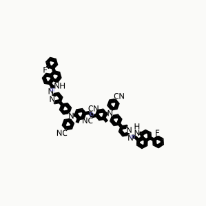 Cc1cc(/C(C#N)=C(\C#N)c2ccc(N(c3ccc(C#N)cc3)c3ccc(-c4ccc(/N=C5\Nc6ccc(-c7ccccc7F)c7cccc5c67)nc4)cc3)c(C)c2)ccc1N(c1ccc(C#N)cc1)c1ccc(-c2ccc(/N=C3\Nc4ccc(-c5ccccc5F)c5cccc3c45)nc2)cc1